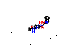 O=C(NC[C@H](O)CN1CCc2ccccc2C1)c1cn2c(n1)CCC(NC(=O)C1CCC1)C2